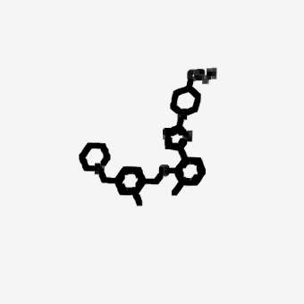 Cc1cc(CN2CCCCC2)ccc1COc1c(C)cccc1-c1csc(N2CCC(C(=O)O)CC2)n1